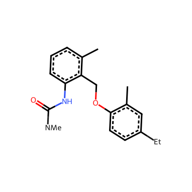 CCc1ccc(OCc2c(C)cccc2NC(=O)NC)c(C)c1